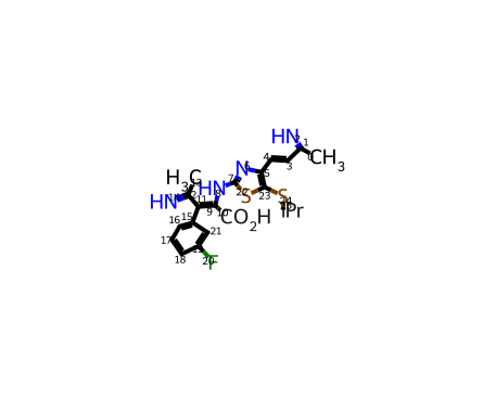 CC(=N)/C=C/c1nc(N/C(C(=O)O)=C(\C(C)=N)c2cccc(F)c2)sc1SC(C)C